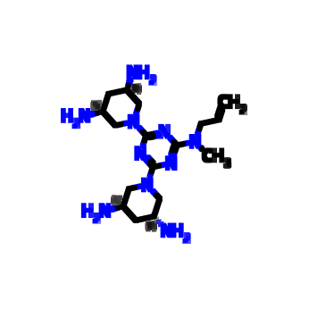 C=CCN(C)c1nc(N2C[C@H](N)C[C@@H](N)C2)nc(N2C[C@H](N)C[C@H](N)C2)n1